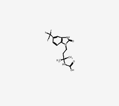 CC(C)(CCn1c(=O)[nH]c2cc(C(F)(F)F)ccc21)NC(=O)O